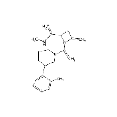 C=C(NC)C1CC(=C)N1C(=C)N1CCCC(c2ccccc2C)C1